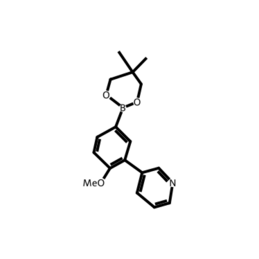 COc1ccc(B2OCC(C)(C)CO2)cc1-c1cccnc1